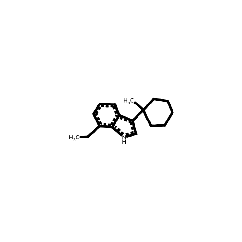 CCc1cccc2c(C3(C)CCCCC3)c[nH]c12